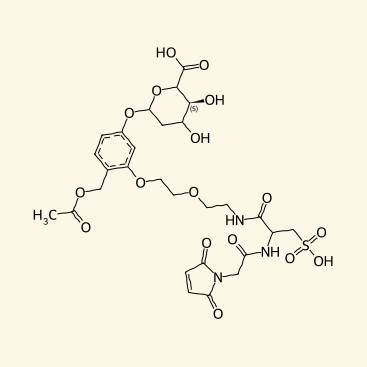 CC(=O)OCc1ccc(OC2CC(O)[C@H](O)C(C(=O)O)O2)cc1OCCOCCNC(=O)C(CS(=O)(=O)O)NC(=O)CN1C(=O)C=CC1=O